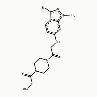 Cn1nc(Br)c2ccc(NCC(=O)N3CCN(C(=O)OC(C)(C)C)CC3)cc21